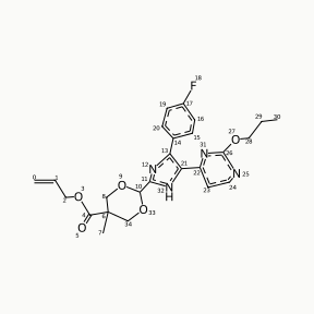 C=CCOC(=O)C1(C)COC(c2nc(-c3ccc(F)cc3)c(-c3ccnc(OCCC)n3)[nH]2)OC1